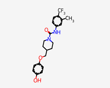 Cc1cc(NC(=O)N2CCC(COc3ccc(O)cc3)CC2)ccc1C(F)(F)F